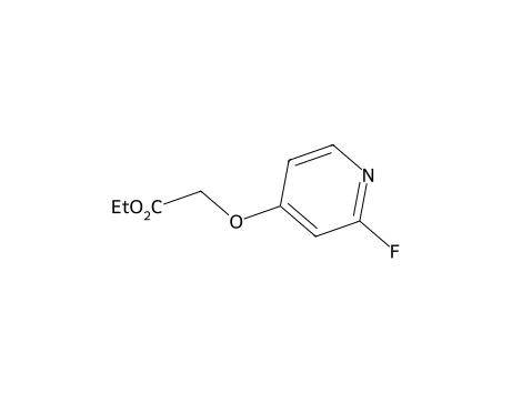 CCOC(=O)COc1ccnc(F)c1